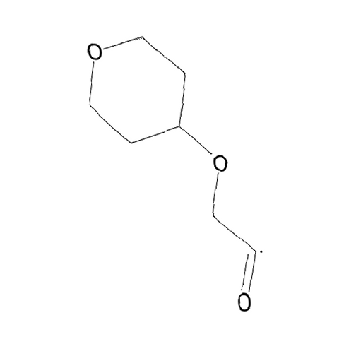 O=[C]COC1CCOCC1